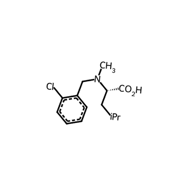 CC(C)C[C@@H](C(=O)O)N(C)Cc1ccccc1Cl